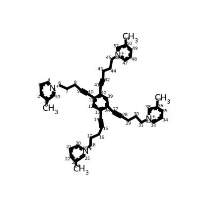 Cc1ccc[n+](CCCC#Cc2cc(C#CCCC[n+]3cccc(C)c3)c(C#CCCC[n+]3cccc(C)c3)cc2C#CCCC[n+]2cccc(C)c2)c1